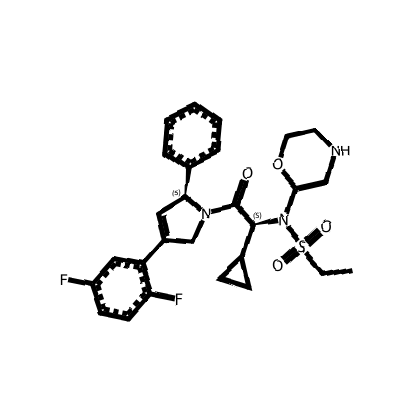 CCS(=O)(=O)N(C1CNCCO1)[C@H](C(=O)N1CC(c2cc(F)ccc2F)=C[C@H]1c1ccccc1)C1CC1